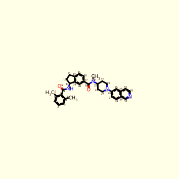 Cc1cccc(C)c1C(=O)NC1CCc2ccc(C(=O)N(C)C3CCN(c4ccc5cnccc5c4)CC3)cc21